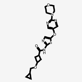 O=C(Nc1ncc(Oc2cnc(N3CCOCC3)nc2)s1)C1CC(OCC2CC2)C1